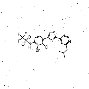 CC(C)Cc1cc(-c2nc(-c3ccc(NS(=O)(=O)C(F)(F)F)c(Br)c3Cl)cs2)ccn1